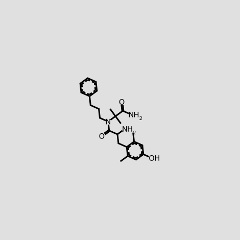 Cc1cc(O)cc(C)c1CC(N)C(=O)N(CCCc1ccccc1)C(C)(C)C(N)=O